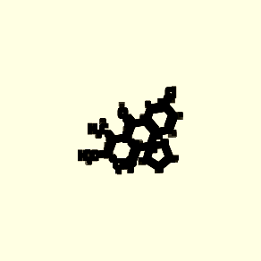 CC(N(C)C)N1C(=O)c2cc(Cl)ccc2C2(CCCC2)C1=O